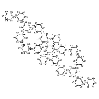 c1ccc(-c2c(-c3ccccc3)c(-c3ccc(-c4cccc(-c5cc(-c6cccc(-c7cccnc7)c6)cc(-c6cccc(-c7cccnc7)c6)c5)c4)cc3)c(-c3ccccc3)c(-c3ccccc3)c2-c2ccc(-c3cccc(-c4cc(-c5cccc(-c6cccnc6)c5)cc(-c5cccc(-c6cccnc6)c5)c4)c3)cc2)cc1